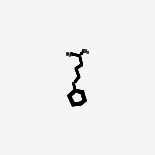 CN(C)SCCOc1[c]cccc1